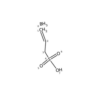 B.C=CCS(=O)(=O)O